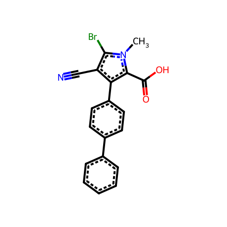 Cn1c(Br)c(C#N)c(-c2ccc(-c3ccccc3)cc2)c1C(=O)O